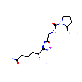 NC(=O)CCC[C@H](N)c1noc(CNC(=O)N2CCCC2C(=O)O)n1